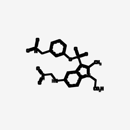 Cc1c(S(=O)(=O)Oc2cccc(C[SH](=O)=O)c2)c2cc(NC[SH](=O)=O)ccc2n1CC(=O)O